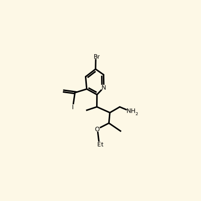 C=C(I)c1cc(Br)cnc1C(C)C(CN)C(C)OCC